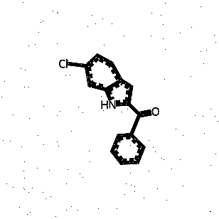 O=C(c1ccccc1)c1cc2ccc(Cl)cc2[nH]1